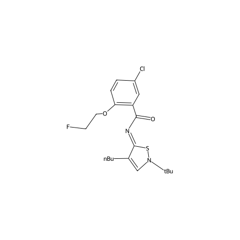 CCCCc1cn(C(C)(C)C)sc1=NC(=O)c1cc(Cl)ccc1OCCF